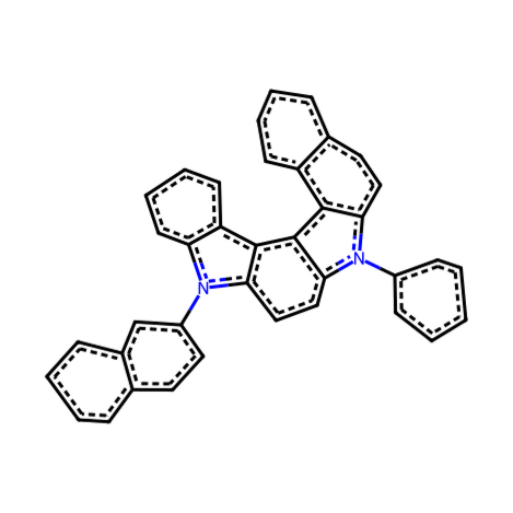 c1ccc(-n2c3ccc4ccccc4c3c3c4c5ccccc5n(-c5ccc6ccccc6c5)c4ccc32)cc1